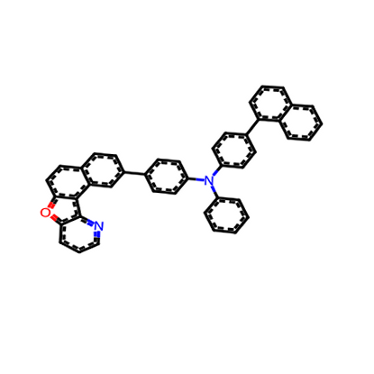 c1ccc(N(c2ccc(-c3ccc4ccc5oc6cccnc6c5c4c3)cc2)c2ccc(-c3cccc4ccccc34)cc2)cc1